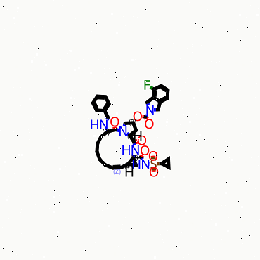 O=C1N[C@]2(C(=O)NS(=O)(=O)C3CC3)C[C@H]2/C=C\CCCCC[C@H](NCc2ccccc2)C(=O)N2C[C@H](OC(=O)N3Cc4cccc(F)c4C3)C[C@@H]12